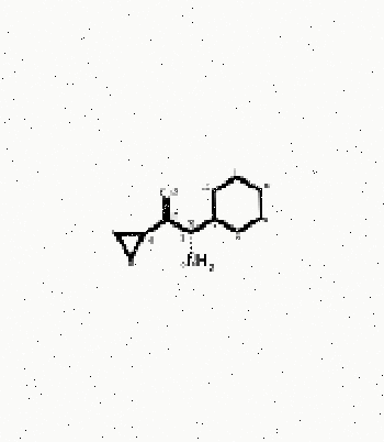 N[C@H](C(=O)C1CC1)C1CCCCC1